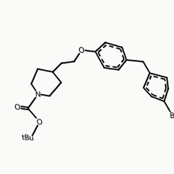 CC(C)(C)OC(=O)N1CCC(CCOc2ccc(Cc3ccc(Br)cc3)cc2)CC1